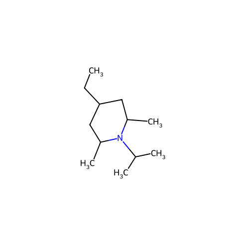 CCC1CC(C)N(C(C)C)C(C)C1